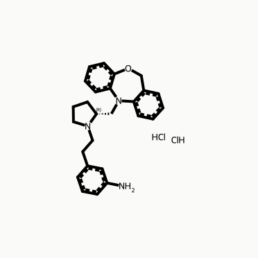 Cl.Cl.Nc1cccc(CCN2CCC[C@@H]2CN2c3ccccc3COc3ccccc32)c1